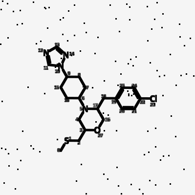 CSCC1CN(C2CCC(n3cncn3)CC2)C(Cc2ccc(Cl)cc2)CO1